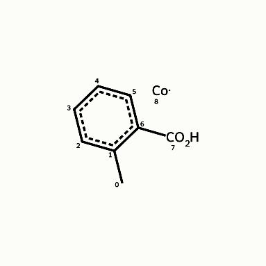 Cc1ccccc1C(=O)O.[Co]